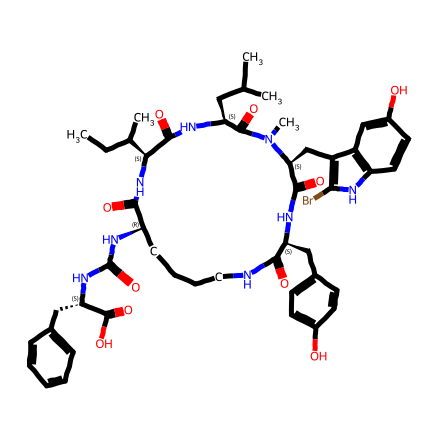 CCC(C)[C@@H]1NC(=O)[C@H](NC(=O)N[C@@H](Cc2ccccc2)C(=O)O)CCCCNC(=O)[C@H](Cc2ccc(O)cc2)NC(=O)[C@H](Cc2c(Br)[nH]c3ccc(O)cc23)N(C)C(=O)[C@H](CC(C)C)NC1=O